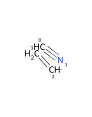 C#N.[CH]=C